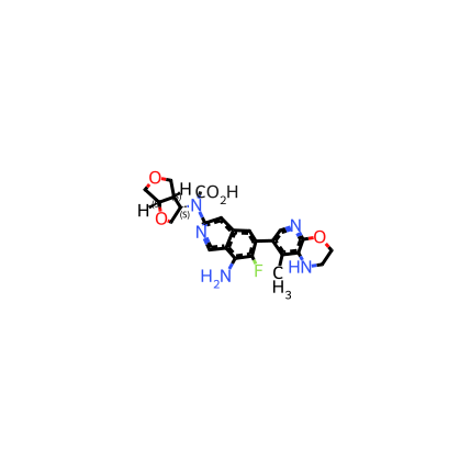 Cc1c(-c2cc3cc(N(C(=O)O)[C@@H]4CO[C@@H]5COC[C@H]45)ncc3c(N)c2F)cnc2c1NCCO2